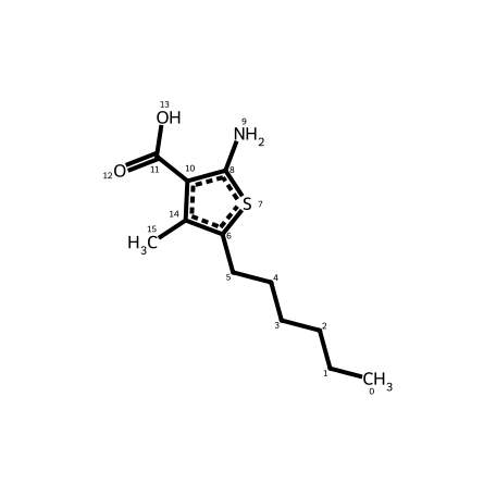 CCCCCCc1sc(N)c(C(=O)O)c1C